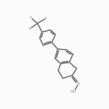 O/N=C1\CCc2cc(-c3ccc(C(F)(F)F)cc3)ccc2C1